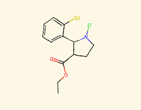 CCOC(=O)C1CCN(Cl)C1c1ccccc1S